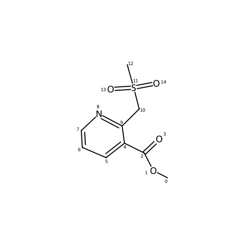 COC(=O)c1cccnc1CS(C)(=O)=O